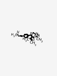 CNCC#Cc1ccc(C2=NCc3nnc(C)n3-c3sc(C)c(C)c32)cc1